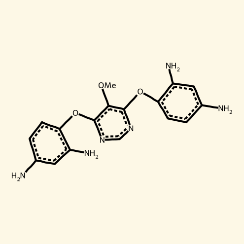 COc1c(Oc2ccc(N)cc2N)ncnc1Oc1ccc(N)cc1N